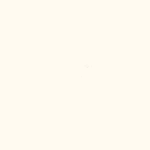 CC1(F)CCC(C(C)(C)C)C(C)(C)C1